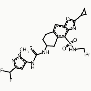 CC(C)CNS(=O)(=O)c1c2c(cc3oc(C4CC4)nc13)CCC(NC(=S)Nc1cc(C(F)F)nn1C)C2